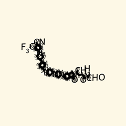 CC(CCC(=O)NC=O)N1Cc2cc(N3CCN(C4CCN(Cc5ccc(C6CCN(c7ccc(C#N)c(C(F)(F)F)c7)CC6)cc5)CC4)CC3)ccc2C1=O